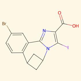 O=C(O)c1nc2n(c1I)C1CC(C1)c1ccc(Br)cc1-2